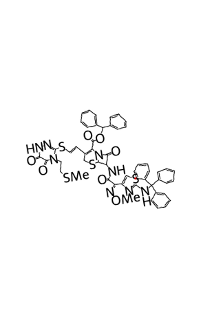 CO/N=C(/C(=O)NC1C(=O)N2C(C(=O)OC(c3ccccc3)c3ccccc3)=C(/C=C/Sc3n[nH]c(=O)c(=O)n3CCSC)CSC12)c1csc(NC(c2ccccc2)(c2ccccc2)c2ccccc2)n1